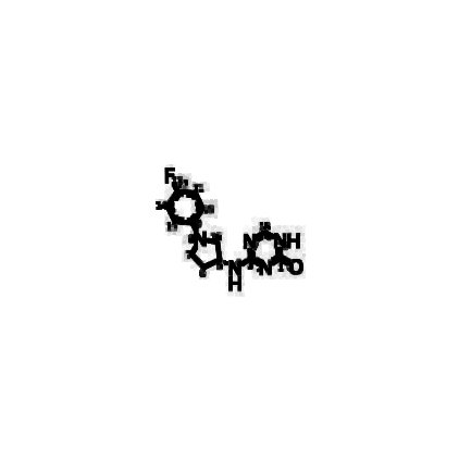 O=c1nc(N[C@@H]2CCN(c3ccc(F)cc3)C2)nc[nH]1